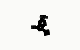 COc1cnc2c(c1)c(C#N)cn2C1=CC=C1